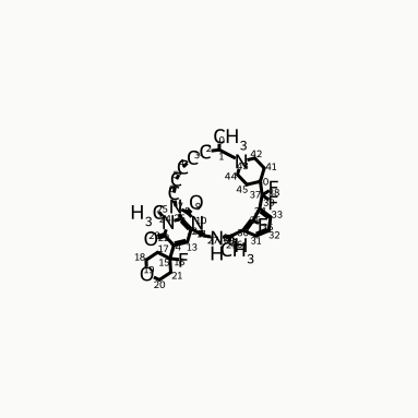 CC1CCCCCn2c(=O)nc(c3cc(C4(F)CCOCC4)c(=O)n(C)c32)N[C@H](C)c2cccc(c2F)C(F)(F)C2CCN1CC2